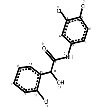 O=C(Nc1ccc(Cl)c(Cl)c1)C(O)c1ccccc1Cl